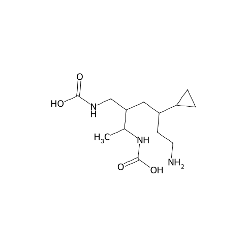 CC(NC(=O)O)C(CNC(=O)O)CC(CCN)C1CC1